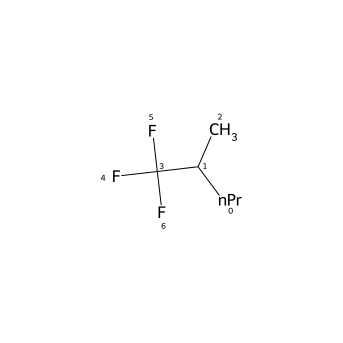 [CH2]CCC(C)C(F)(F)F